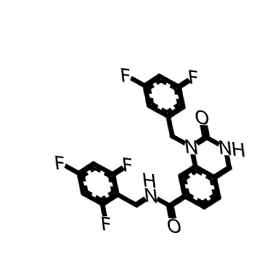 O=C(NCc1c(F)cc(F)cc1F)c1ccc2c(c1)N(Cc1cc(F)cc(F)c1)C(=O)NC2